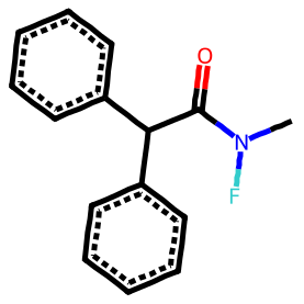 CN(F)C(=O)C(c1ccccc1)c1ccccc1